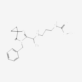 CC(C)C(NCCCNC(=O)OC(C)(C)C)C1=NC2(CC2)C(=O)N1Cc1ccccc1